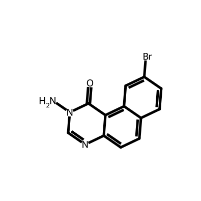 Nn1cnc2ccc3ccc(Br)cc3c2c1=O